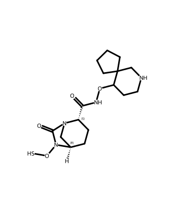 O=C(NOC1CCNCC12CCCC2)[C@@H]1CC[C@@H]2CN1C(=O)N2OS